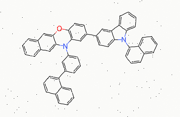 c1cc(-c2cccc3ccccc23)cc(N2c3cc(-c4ccc5c(c4)c4ccccc4n5-c4cccc5ccccc45)ccc3Oc3cc4ccccc4cc32)c1